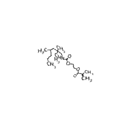 C=C(C)C(=O)OCCOC(=O)NCC(C)(C)CC(C)CCC